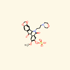 COc1cc2c3c(n(CCCN4CCOCC4)c(=O)c2cc1OS(=O)(=O)O)-c1cc2c(cc1C3=O)OCO2